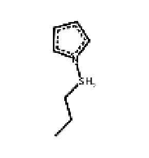 CCC[SiH2]n1cccc1